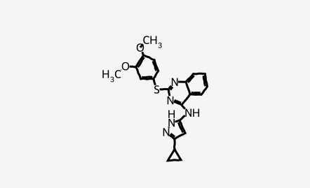 COc1ccc(Sc2nc(Nc3cc(C4CC4)n[nH]3)c3ccccc3n2)cc1OC